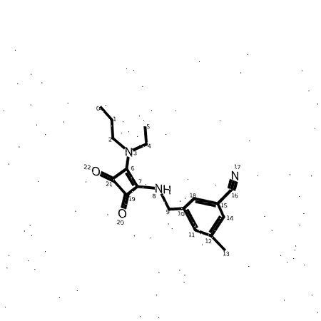 CCCN(CC)c1c(NCc2cc(C)cc(C#N)c2)c(=O)c1=O